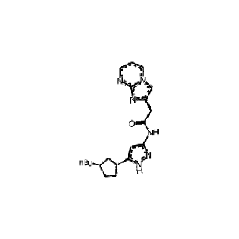 CCCC[C@@H]1CC[C@H](c2cc(NC(=O)Cc3cn4cccnc4n3)n[nH]2)C1